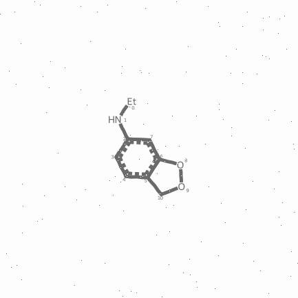 CCNc1ccc2c(c1)OOC2